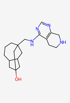 OC12CC3CCCC(CNc4ncnc5c4CCNC5)(CC3C1)C2